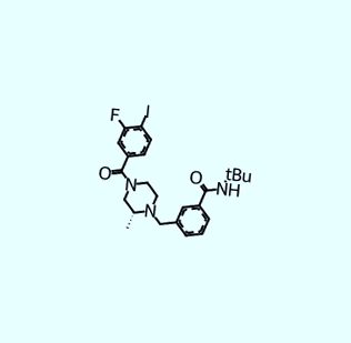 C[C@@H]1CN(C(=O)c2ccc(I)c(F)c2)CCN1Cc1cccc(C(=O)NC(C)(C)C)c1